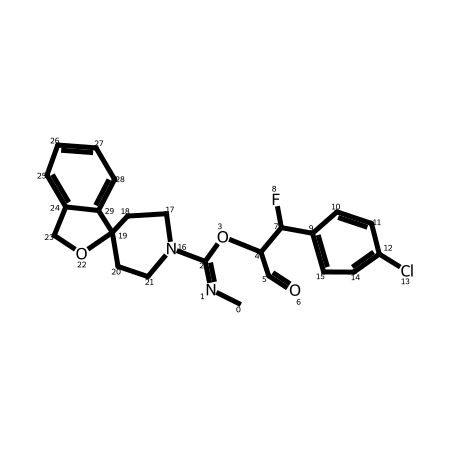 C/N=C(\OC(C=O)C(F)c1ccc(Cl)cc1)N1CCC2(CC1)OCc1ccccc12